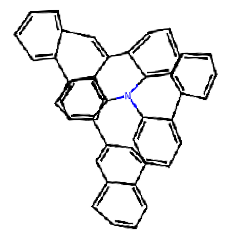 c1ccc(-c2ccccc2N(c2ccccc2-c2ccc3ccccc3c2)c2ccccc2-c2cc3ccccc3c3ccccc23)cc1